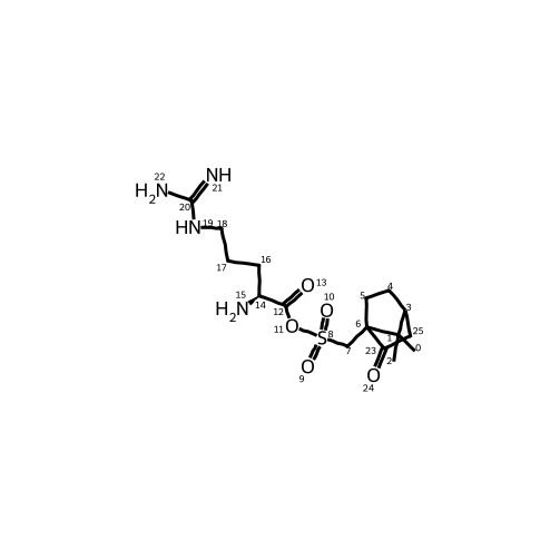 CC1(C)C2CCC1(CS(=O)(=O)OC(=O)[C@@H](N)CCCNC(=N)N)C(=O)C2